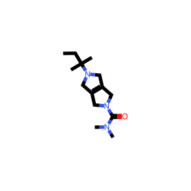 CCC(C)(C)N1CC2=C(CN(C(=O)N(C)C)C2)C1